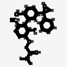 CN(C)C(=O)COc1ccc(C#N)c(-c2cc(C3(c4ccccc4)CO3)ccc2Cl)c1F